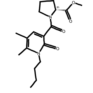 CCCCn1c(C)c(C)cc(C(=O)N2CCC[C@@H]2C(=O)OC)c1=O